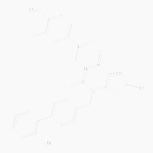 CCc1cc2c(=O)n(CC(=O)c3ccc(OC)c(C)c3)c(=O)n(Cc3ccc(-c4ccccc4C#N)cc3)c2s1